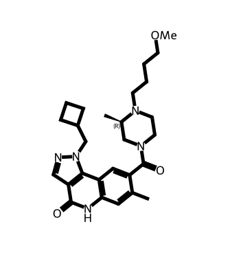 COCCCCN1CCN(C(=O)c2cc3c(cc2C)[nH]c(=O)c2cnn(CC4CCC4)c23)C[C@H]1C